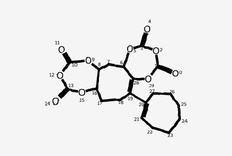 O=C1OC(=O)OC2CC3OC(=O)OC(=O)OC3CCC(/C3=C/CCCCCC3)=C\2O1